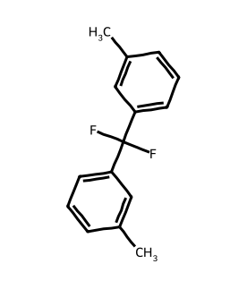 Cc1cccc(C(F)(F)c2cccc(C)c2)c1